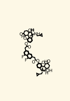 O=C(Cc1cc(F)c2c(F)cc(CC(=O)Oc3ccc4c5c3O[C@H]3C(=O)CC[C@@]6(O)[C@@H](C4)N(CC4CC4)CC[C@]536)cc2c1)Oc1ccc2c3c1O[C@H]1C(=O)CC[C@@]4(O)[C@@H](C2)C(NCC2CC2)CC[C@]314